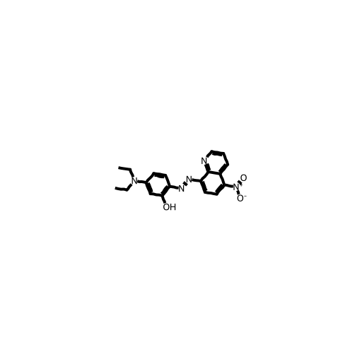 CCN(CC)c1ccc(N=Nc2ccc([N+](=O)[O-])c3cccnc23)c(O)c1